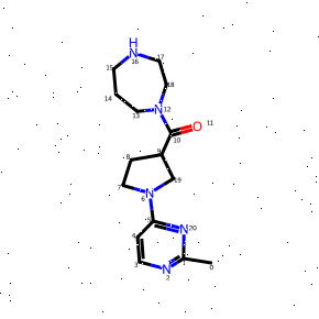 Cc1nccc(N2CCC(C(=O)N3CCCNCC3)C2)n1